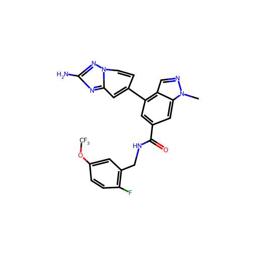 Cn1ncc2c(-c3ccn4nc(N)nc4c3)cc(C(=O)NCc3cc(OC(F)(F)F)ccc3F)cc21